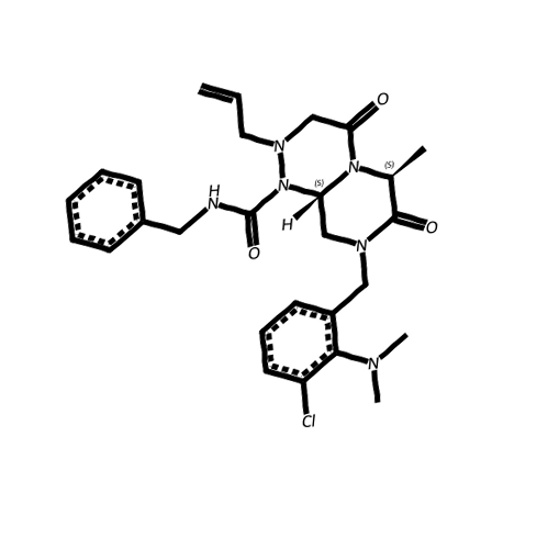 C=CCN1CC(=O)N2[C@@H](C)C(=O)N(Cc3cccc(Cl)c3N(C)C)C[C@@H]2N1C(=O)NCc1ccccc1